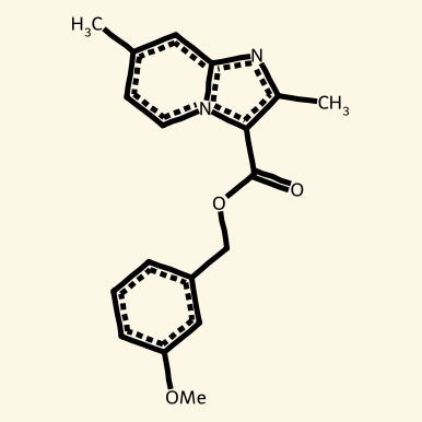 COc1cccc(COC(=O)c2c(C)nc3cc(C)ccn23)c1